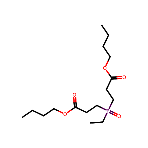 CCCCOC(=O)CCP(=O)(CC)CCC(=O)OCCCC